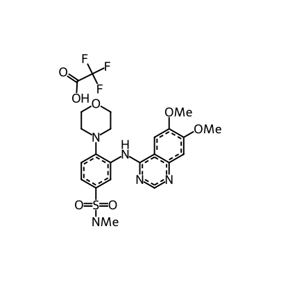 CNS(=O)(=O)c1ccc(N2CCOCC2)c(Nc2ncnc3cc(OC)c(OC)cc23)c1.O=C(O)C(F)(F)F